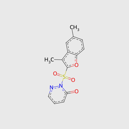 Cc1ccc2oc(S(=O)(=O)n3ncccc3=O)c(C)c2c1